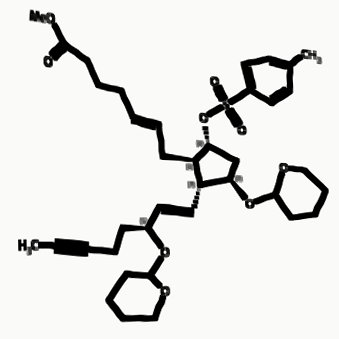 CC#CCC[C@@H](C=C[C@@H]1[C@@H](CC=CCCCC(=O)OC)[C@H](OS(=O)(=O)c2ccc(C)cc2)C[C@H]1OC1CCCCO1)OC1CCCCO1